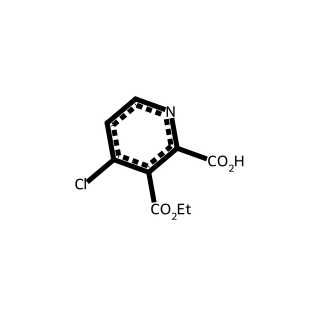 CCOC(=O)c1c(Cl)ccnc1C(=O)O